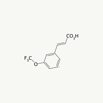 O=C(O)C=Cc1c[c]cc(OC(F)(F)F)c1